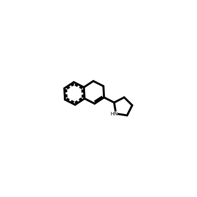 C1=C(C2CCCN2)CCc2ccccc21